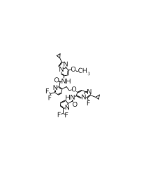 CCOc1cc(NC(=O)c2nc(C(F)F)ccc2CCOc2cc3nc(C4CC4)c(F)n3cc2NC(=O)c2cccc(C(F)F)n2)cn2cc(C3CC3)nc12